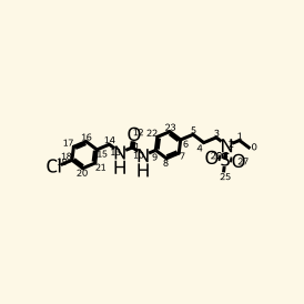 CCN(CCCc1ccc(NC(=O)NCc2ccc(Cl)cc2)cc1)S(C)(=O)=O